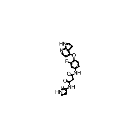 O=C(CC(=O)Nc1cc[nH]n1)Nc1ccc(Oc2ccnc3[nH]ccc23)c(F)c1